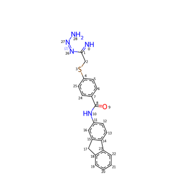 N=C(CSc1ccc(C(=O)Nc2ccc3c(c2)Cc2ccccc2-3)cc1)/N=N\N